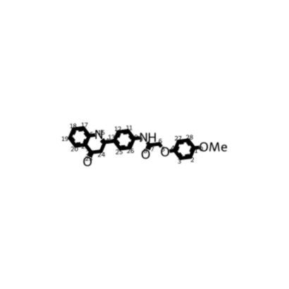 COc1ccc(OCC(=O)Nc2ccc(C3=Nc4ccccc4C(=O)C3)cc2)cc1